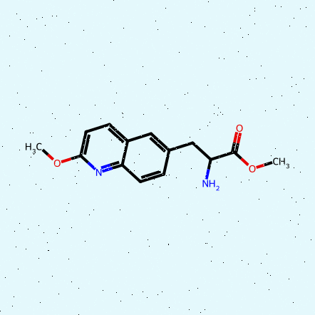 COC(=O)C(N)Cc1ccc2nc(OC)ccc2c1